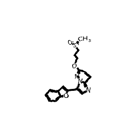 C[S+]([O-])CCCOc1ccc2ncc(-c3cc4ccccc4o3)n2n1